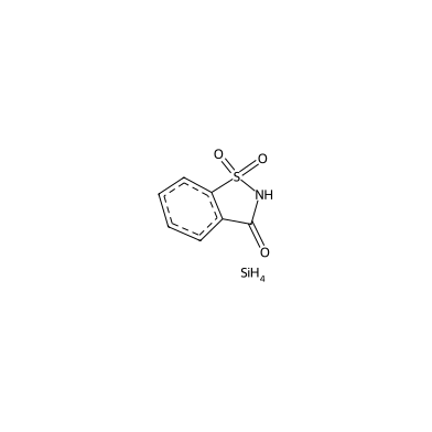 O=C1NS(=O)(=O)c2ccccc21.[SiH4]